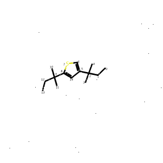 CCC(C)(C)c1csc(C(C)(C)CC)c1